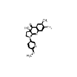 COc1ccc(N2CCC3(O)C(=O)c4cc(C)c(C)cc4N=C23)cn1